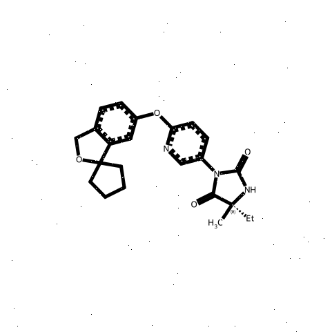 CC[C@@]1(C)NC(=O)N(c2ccc(Oc3ccc4c(c3)C3(CCCC3)OC4)nc2)C1=O